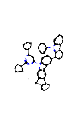 CC1(C)c2ccccc2-c2cc3c4cc(-c5cccc6c7ccccc7n(-c7ccccc7)c56)ccc4n(-c4cc(-c5ccccc5)nc(-c5ccccc5)n4)c3cc21